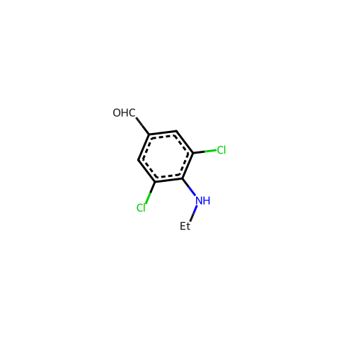 CCNc1c(Cl)cc(C=O)cc1Cl